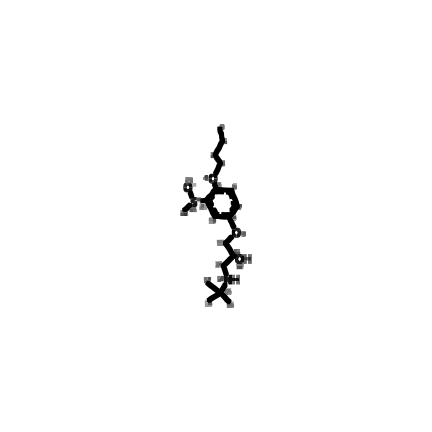 CCCCOc1ccc(OCC(O)CNC(C)(C)C)cc1[S+](C)[O-]